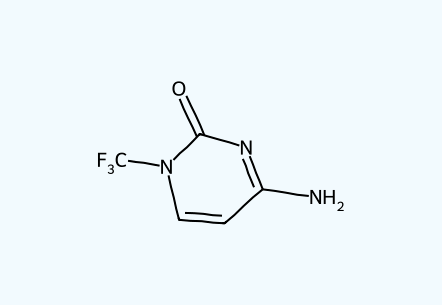 Nc1ccn(C(F)(F)F)c(=O)n1